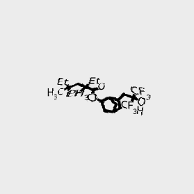 CCC(C)(C)CC(CC)(C(=O)OC1CC2CC(CC(O)(C(F)(F)F)C(F)(F)F)C1C2)C(C)C